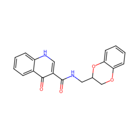 O=C(NCC1COc2ccccc2O1)c1c[nH]c2ccccc2c1=O